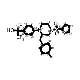 Cc1ccc(CC2CN(S(=O)(=O)c3cccs3)CCN2c2ccc(C(O)(C(F)(F)F)C(F)(F)F)cc2)cc1